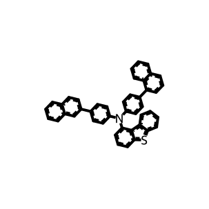 c1ccc2cc(-c3ccc(N(c4ccc(-c5cccc6ccccc56)cc4)c4cccc5sc6ccccc6c45)cc3)ccc2c1